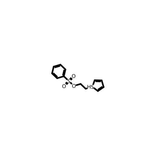 O=S(=O)(OCC[SH]1C=CC=C1)c1ccccc1